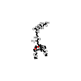 CC(C)(C)OC(=O)Cn1ccnc1CN(C(CCC[C@H](N)C(=O)NCCCC[C@H](NC(=O)N[C@@H](CCC(=O)O)C(=O)O)C(=O)O)C(C)(C)C)C(c1nccn1CC(=O)OC(C)(C)C)(C(C)(C)C)C(C)(C)C